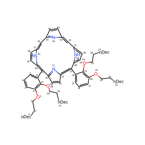 CCCCCCCCCCCCOc1cccc(-c2c3nc(c(-c4cccc(OCCCCCCCCCCCC)c4OCCCCCCCCCCCC)c4ccc(cc5nc(cc6ccc2[nH]6)C=C5)[nH]4)C=C3)c1OCCCCCCCCCCCC